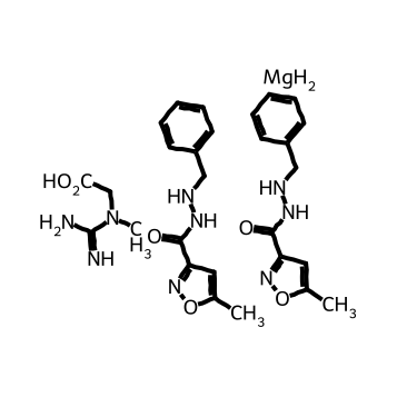 CN(CC(=O)O)C(=N)N.Cc1cc(C(=O)NNCc2ccccc2)no1.Cc1cc(C(=O)NNCc2ccccc2)no1.[MgH2]